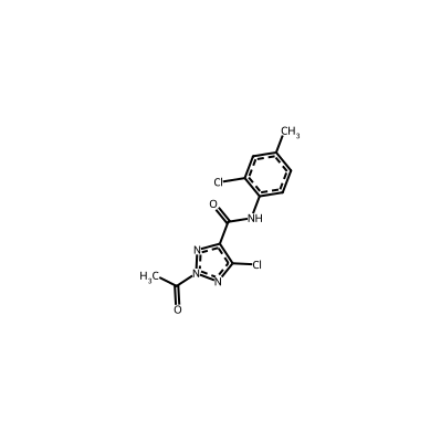 CC(=O)n1nc(Cl)c(C(=O)Nc2ccc(C)cc2Cl)n1